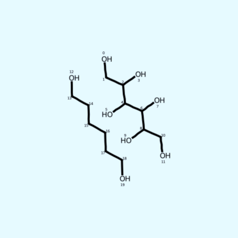 OCC(O)C(O)C(O)C(O)CO.OCCCCCCO